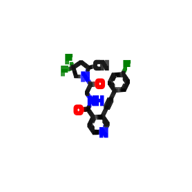 N#CC1CC(F)(F)CN1C(=O)CNC(=O)c1ccncc1C#Cc1ccc(F)cc1